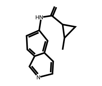 C=C(Nc1ccc2cnccc2c1)C1CC1C